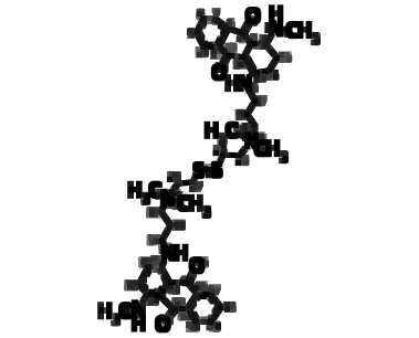 CNC1=C2C(=O)c3ccccc3C(=O)C2=C(NCCC[N+](C)(C)CCSSCC[N+](C)(C)CCCNc2ccc(NC)c3c2C(=O)c2ccccc2C3=O)CC1